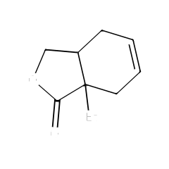 CCC12CC=CCC1COC2=O